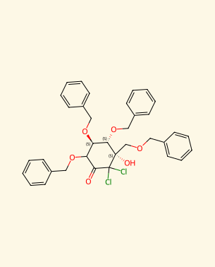 O=C1C(OCc2ccccc2)[C@@H](OCc2ccccc2)[C@H](OCc2ccccc2)[C@@](O)(COCc2ccccc2)C1(Cl)Cl